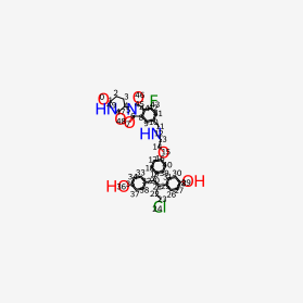 O=C1CCC(N2C(=O)c3cc(CNCCOc4ccc(C(=C(CCCl)c5ccc(O)cc5)c5ccc(O)cc5)cc4)cc(F)c3C2=O)C(=O)N1